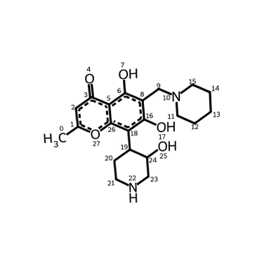 Cc1cc(=O)c2c(O)c(CN3CCCCC3)c(O)c(C3CCNCC3O)c2o1